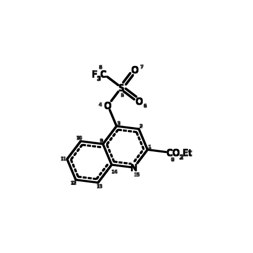 CCOC(=O)c1cc(OS(=O)(=O)C(F)(F)F)c2ccccc2n1